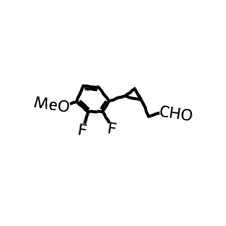 COc1ccc(C2CC2CC=O)c(F)c1F